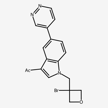 CC(=O)c1cn(CC2(Br)COC2)c2ccc(-c3ccnnc3)cc12